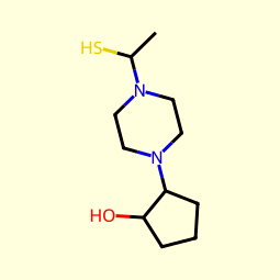 CC(S)N1CCN(C2CCCC2O)CC1